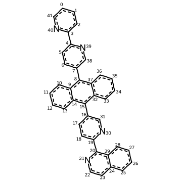 c1ccc(-c2ccc(-c3c4ccccc4c(-c4ccc(-c5nccc6ccccc56)nc4)c4ccccc34)cn2)nc1